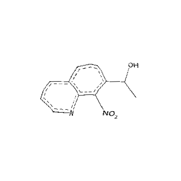 CC(O)c1ccc2cccnc2c1[N+](=O)[O-]